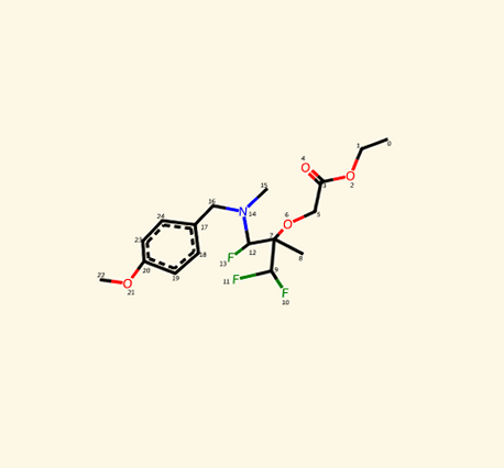 CCOC(=O)COC(C)(C(F)F)C(F)N(C)Cc1ccc(OC)cc1